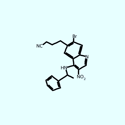 CC(Nc1c([N+](=O)[O-])cnc2cc(Br)c(CCCC#N)cc12)c1ccccc1